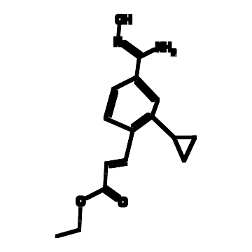 CCOC(=O)C=Cc1ccc(C(N)=NO)cc1C1CC1